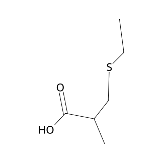 CCSCC(C)C(=O)O